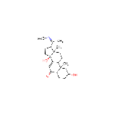 CO/N=C(/C)C1CC[C@@]2(O)C3=CC(=O)C4CCC(O)CC4(C)C3CCC12C